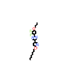 CCCCCCCCOc1ccc(-c2cnc(-c3ccc(OCCCC)c(F)c3F)nc2)cn1